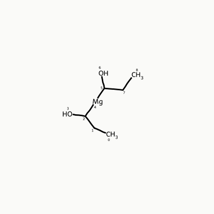 CC[CH](O)[Mg][CH](O)CC